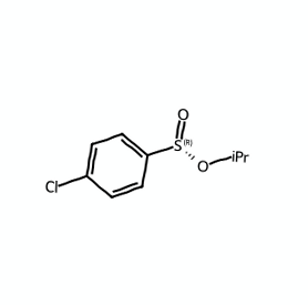 CC(C)O[S@@](=O)c1ccc(Cl)cc1